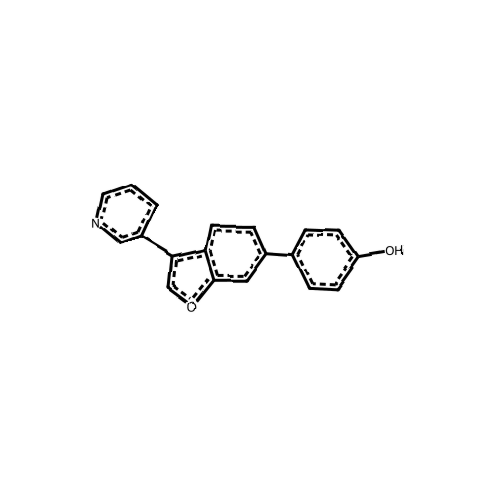 Oc1ccc(-c2ccc3c(-c4cccnc4)coc3c2)cc1